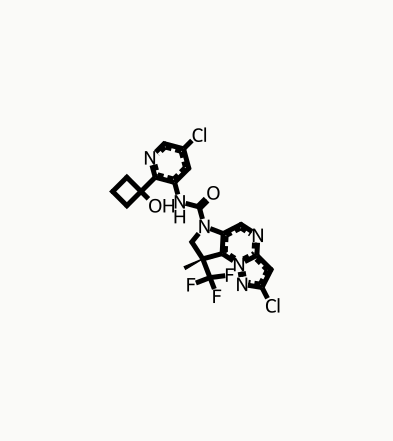 C[C@@]1(C(F)(F)F)CN(C(=O)Nc2cc(Cl)cnc2C2(O)CCC2)c2cnc3cc(Cl)nn3c21